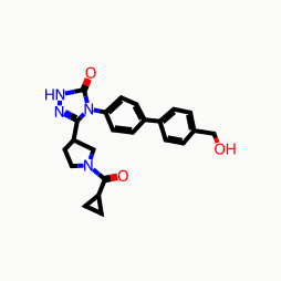 O=C(C1CC1)N1CCC(c2n[nH]c(=O)n2-c2ccc(-c3ccc(CO)cc3)cc2)C1